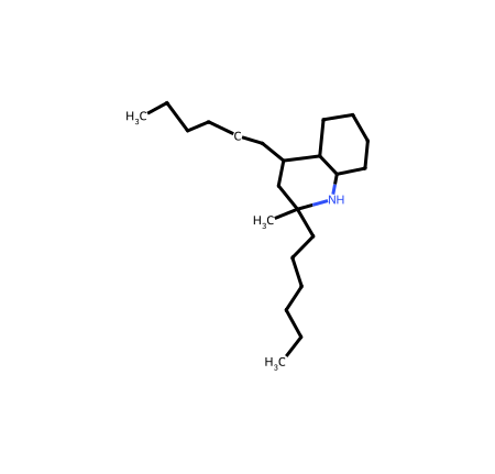 CCCCCCC1CC(C)(CCCCCC)NC2CCCCC12